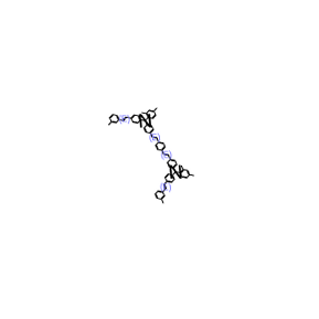 Cc1cccc(/C=C/c2ccc(N(c3ccc(/C=C/c4ccc(/C=C/c5ccc(N(c6ccc(/C=C/c7cccc(C)c7)cc6)c6ccc(C)cc6C)cc5)cc4)cc3)c3ccc(C)cc3C)cc2)c1